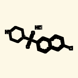 Cl.O=S(=O)(c1ccc2cc(Cl)ccc2c1)N1CCNCC1